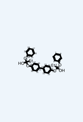 CCC(O)(Oc1ccccc1)Oc1ccc(-c2ccc(OC(O)(CC)Oc3ccccc3)cc2)cc1